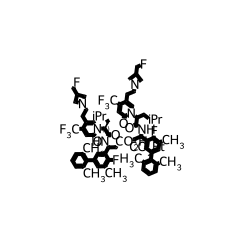 CCOC(=O)CC(NC(=O)C(CC(C)C)n1cc(CCN2CC(CF)C2)c(C(F)(F)F)cc1=O)c1cc(-c2c(C)cccc2C)cc(C)c1F.Cc1cc(-c2c(C)cccc2C)cc(C(CC(=O)O)NC(=O)[C@H](CC(C)C)n2cc(CCN3CC(CF)C3)c(C(F)(F)F)cc2=O)c1F